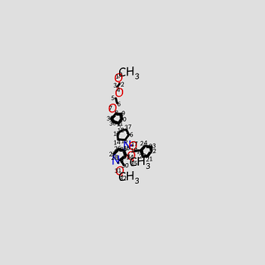 COCCOCCOc1ccc([C@H]2CC[C@@H](N(OCc3ccccc3)c3ccnc(COC)c3OC)CC2)cc1